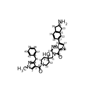 Cn1cc(C(=O)N2CCC(O)(Cn3cnn4c(-c5ccc6c(c5)CC(N)C6)cnc4c3=O)CC2)c(Cc2ccccc2)n1